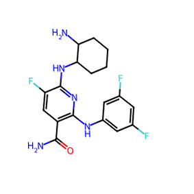 NC(=O)c1cc(F)c(NC2CCCCC2N)nc1Nc1cc(F)cc(F)c1